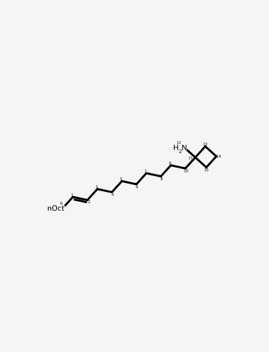 CCCCCCCCC=CCCCCCCCCC1(N)CCC1